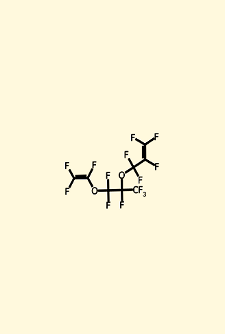 FC(F)=C(F)OC(F)(F)C(F)(OC(F)(F)C(F)=C(F)F)C(F)(F)F